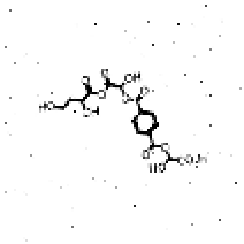 O=C(OC(O)C(=O)O)c1ccc(C(=O)OC(O)C(=O)OC(=O)C(O)CCO)cc1